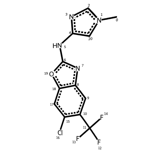 Cn1cnc(Nc2nc3cc(C(F)(F)F)c(Cl)cc3o2)c1